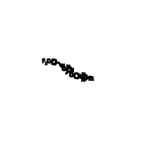 CCc1cnc(N2CCC(Oc3ncnc(ON=CCc4ccc(C(F)(F)F)cc4)c3C)CC2)nc1